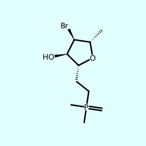 C=P(C)(C)CC[C@H]1O[C@@H](C)[C@H](Br)[C@@H]1O